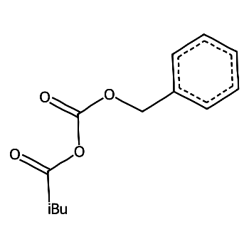 CCC(C)C(=O)OC(=O)OCc1ccccc1